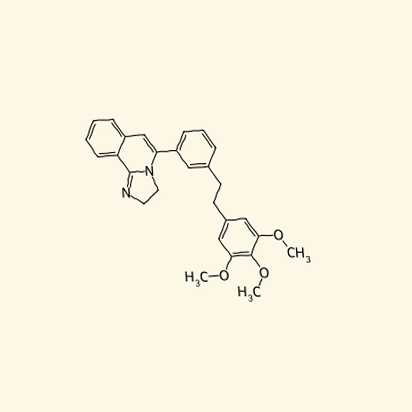 COc1cc(CCc2cccc(C3=Cc4ccccc4C4=NCCN34)c2)cc(OC)c1OC